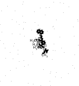 CCCCC1(COCc2nn(C)c(CC)c2-c2c(Cl)ccc3c(CCCOc4cccc5ccccc45)c(C(=O)OCC)[nH]c23)CC1